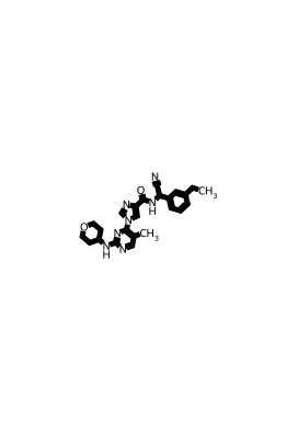 CCc1cccc(C(C#N)NC(=O)c2cn(-c3nc(NC4CCOCC4)ncc3C)cn2)c1